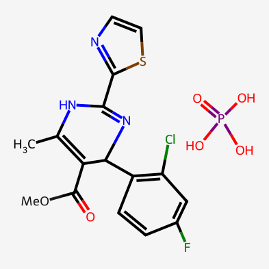 COC(=O)C1=C(C)NC(c2nccs2)=NC1c1ccc(F)cc1Cl.O=P(O)(O)O